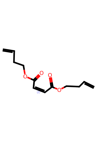 C=CCCOC(=O)/C=C\C(=O)OCCC=C